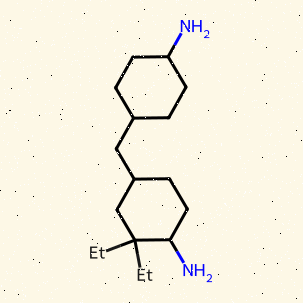 CCC1(CC)CC(CC2CCC(N)CC2)CCC1N